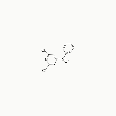 [O-][S+](c1ccccc1)c1cc(Cl)nc(Cl)c1